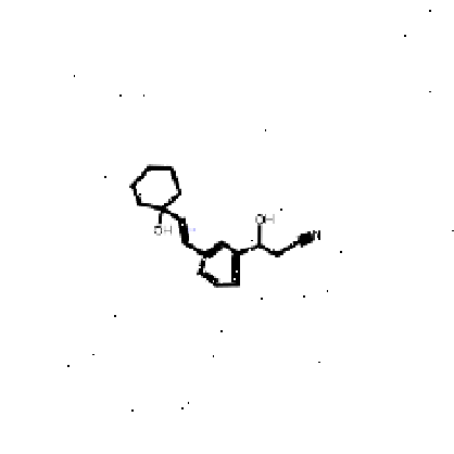 N#CCC(O)c1cccc(/C=C/C2(O)CCCCC2)c1